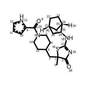 CC1(CC2CCN(C(=O)c3ccc[nH]3)CC2)SC(N[C@H]2C[C@@H]3CC[C@H]2C3)=NC1=O